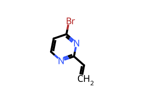 C=Cc1nccc(Br)n1